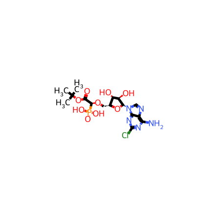 CC(C)(C)OC(=O)[C@@H](OC[C@H]1O[C@@H](n2cnc3c(N)nc(Cl)nc32)[C@H](O)[C@@H]1O)P(=O)(O)O